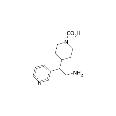 NCC(c1cccnc1)C1CCN(C(=O)O)CC1